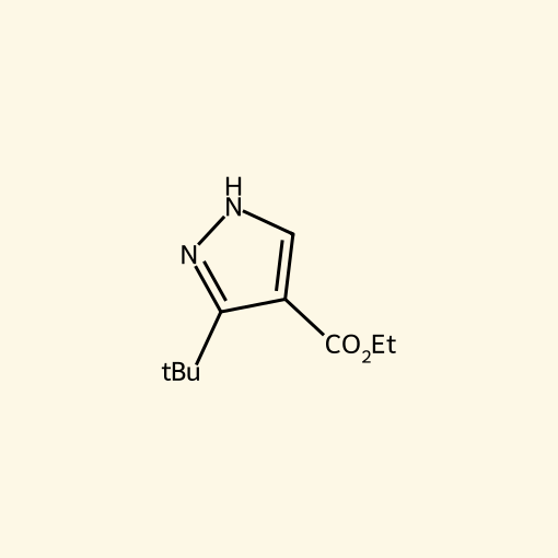 CCOC(=O)c1c[nH]nc1C(C)(C)C